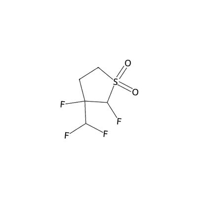 O=S1(=O)CCC(F)(C(F)F)C1F